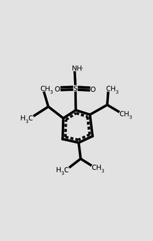 CC(C)c1cc(C(C)C)c(S([NH])(=O)=O)c(C(C)C)c1